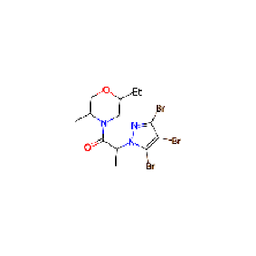 CCC1CN(C(=O)C(C)n2nc(Br)c(Br)c2Br)C(C)CO1